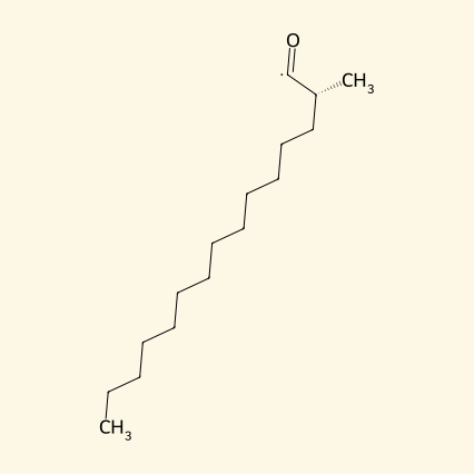 CCCCCCCCCCCCC[C@@H](C)[C]=O